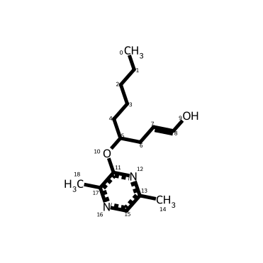 CCCCCC(C/C=C/O)Oc1nc(C)cnc1C